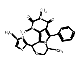 Cc1csc(C2OCC(C)n3c(-c4ccccc4)c4c(=O)n(C)c(=O)n(C)c4c32)n1